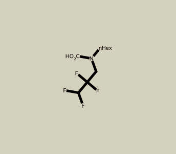 CCCCCCN(CC(F)(F)C(F)F)C(=O)O